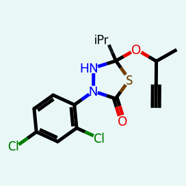 C#CC(C)OC1(C(C)C)NN(c2ccc(Cl)cc2Cl)C(=O)S1